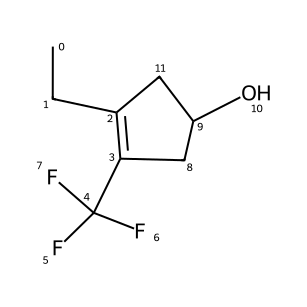 CCC1=C(C(F)(F)F)CC(O)C1